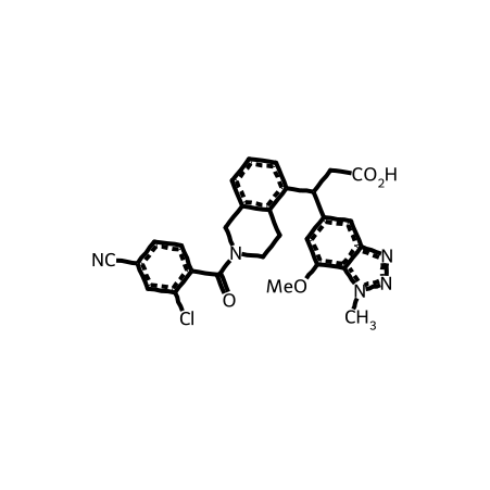 COc1cc(C(CC(=O)O)c2cccc3c2CCN(C(=O)c2ccc(C#N)cc2Cl)C3)cc2nnn(C)c12